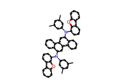 Cc1cc(C)cc(N(c2cc3c4ccccc4c(N(c4cc(C)cc(C)c4)c4cccc5c4oc4ccccc45)cc3c3ccccc23)c2cccc3c2oc2ccccc23)c1